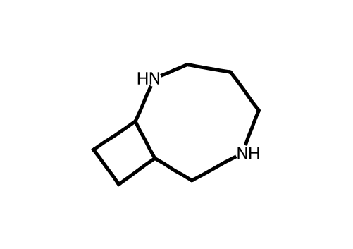 C1CNCC2CCC2NC1